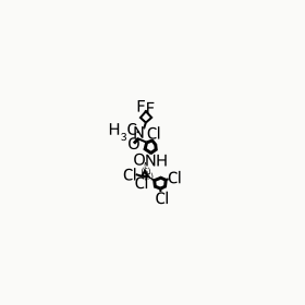 CN(CC1CC(F)(F)C1)C(=O)c1cc(NC(=O)[C@@H]2[C@@H](c3cc(Cl)cc(Cl)c3)C2(Cl)Cl)ccc1Cl